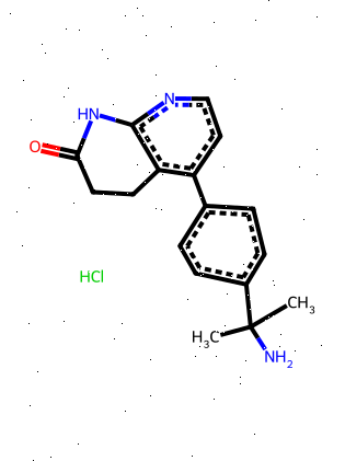 CC(C)(N)c1ccc(-c2ccnc3c2CCC(=O)N3)cc1.Cl